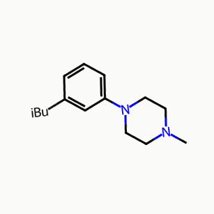 CCC(C)c1cccc(N2CCN(C)CC2)c1